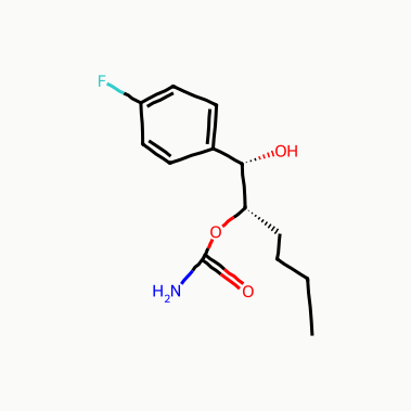 CCCC[C@H](OC(N)=O)[C@@H](O)c1ccc(F)cc1